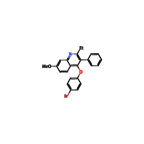 CCc1nc2cc(OC)ccc2c(Oc2ccc(Br)cc2)c1-c1ccccc1